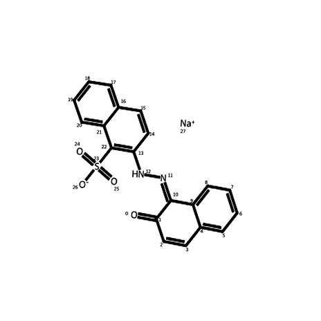 O=C1C=Cc2ccccc2/C1=N/Nc1ccc2ccccc2c1S(=O)(=O)[O-].[Na+]